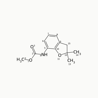 COC(=O)Nc1cccc2c1OC(C)(C)C2